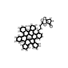 O=C(CCCc1cccc2c1c1c3ccccc3c3c4ccccc4c4c5ccccc5c5c6ccccc6c6c7ccccc7c2c2c6c5c4c3c12)ON1C(=O)CCC1=O